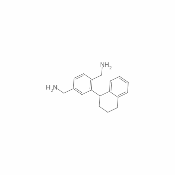 NCc1ccc(CN)c(C2CCCc3ccccc32)c1